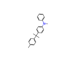 Cc1ccc(C(C)(C)c2ccc(N(C)c3ccccc3)cc2)cc1